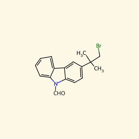 CC(C)(CBr)c1ccc2c(c1)c1ccccc1n2C=O